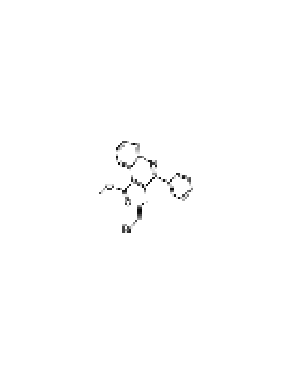 COC(=O)c1c(CC=CBr)c(-c2ccccc2)nc2ccccc12